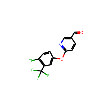 O=Cc1ccc(Oc2ccc(Cl)c(C(F)(F)F)c2)nc1